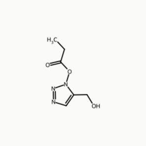 CCC(=O)On1nncc1CO